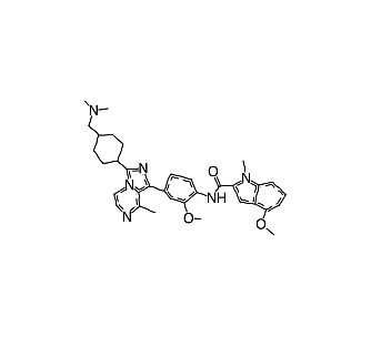 COc1cc(-c2nc(C3CCC(CN(C)C)CC3)n3ccnc(C)c23)ccc1NC(=O)c1cc2c(OC)cccc2n1C